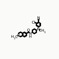 CN1CCc2cc(C(=O)N[C@H]3CC[C@H](N(C)c4ccc(C#N)c(Cl)c4)CC3)ccc2C1